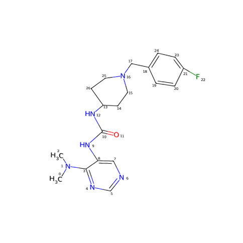 CN(C)c1ncncc1NC(=O)NC1CCN(Cc2ccc(F)cc2)CC1